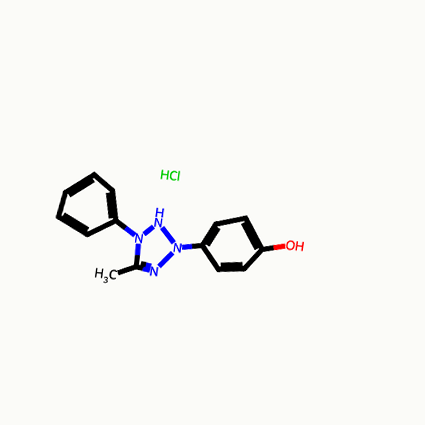 CC1=NN(c2ccc(O)cc2)NN1c1ccccc1.Cl